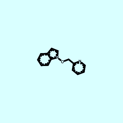 [c]1cc2ccccc2n1OCc1ccccn1